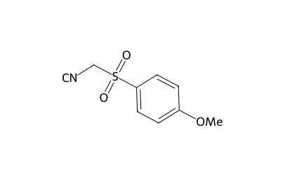 [C-]#[N+]CS(=O)(=O)c1ccc(OC)cc1